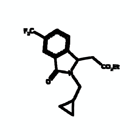 CCOC(=O)CC1c2ccc(C(F)(F)F)cc2C(=O)N1CC1CC1